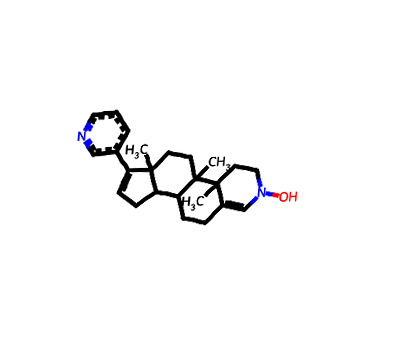 CC12CCC3(C)C(CCC4=CN(O)CCC43C)C1CC=C2c1cccnc1